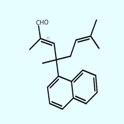 CC(C)=CCC(C)(/C=C(\C)C=O)c1cccc2ccccc12